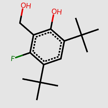 CC(C)(C)c1cc(C(C)(C)C)c(F)c(CO)c1O